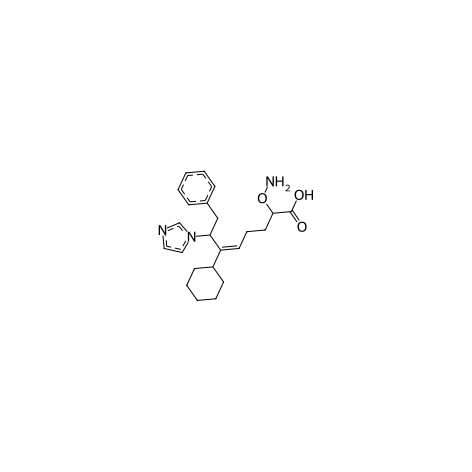 NOC(CCC=C(C1CCCCC1)C(Cc1ccccc1)n1ccnc1)C(=O)O